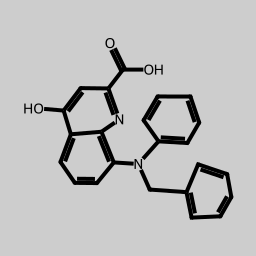 O=C(O)c1cc(O)c2cccc(N(Cc3ccccc3)c3ccccc3)c2n1